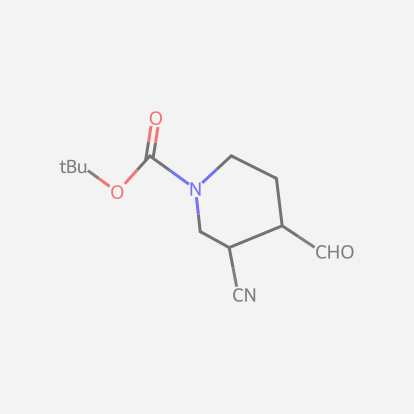 CC(C)(C)OC(=O)N1CCC(C=O)C(C#N)C1